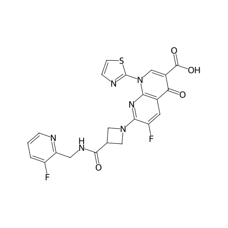 O=C(O)c1cn(-c2nccs2)c2nc(N3CC(C(=O)NCc4ncccc4F)C3)c(F)cc2c1=O